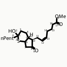 CCCCCC1(O)CC[C@H]2C(CC(=O)[C@@H]2C/C=C\CCCC(=O)OC)S1